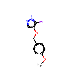 COc1ccc(COc2cn[nH]c2I)cc1